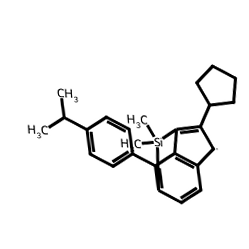 CC(C)c1ccc(-c2c3ccc4c2C(=C(C2CCCC2)[CH]4)[Si]3(C)C)cc1